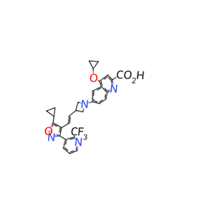 O=C(O)c1cc(OC2CC2)c2cc(N3CC(/C=C/c4c(-c5cccnc5C(F)(F)F)noc4C4CC4)C3)ccc2n1